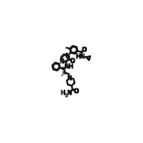 Cc1ccc(C(=O)NC2CC2)cc1-n1ccnc(N[C@@H](c2ccccc2)[C@@H](C)CN2CCC(C(N)=O)CC2)c1=O